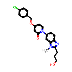 Cn1c(CCCO)nc2ccc(-n3ccc(OCc4ccc(Cl)cc4)cc3=O)cc21